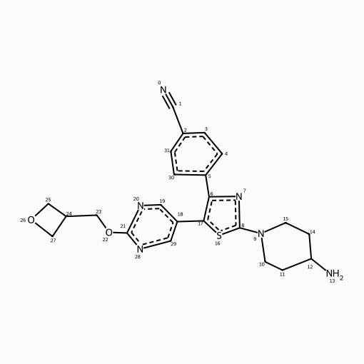 N#Cc1ccc(-c2nc(N3CCC(N)CC3)sc2-c2cnc(OCC3COC3)nc2)cc1